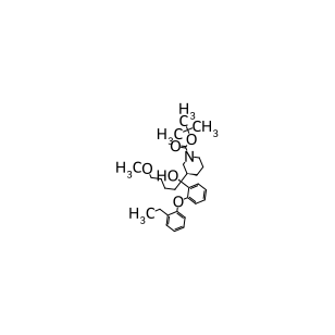 CCc1ccccc1Oc1ccccc1[C@](O)(CCCCOC)[C@@H]1CCCN(C(=O)OC(C)(C)C)C1